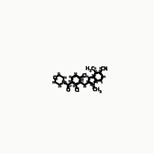 Cc1c(C#N)ccc2c1cc(Cc1c(Cl)ccc(C(=O)N3CCOCC3)c1Cl)n2C